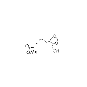 COC(=O)CCC/C=C\CC1COC(C)OC1CO